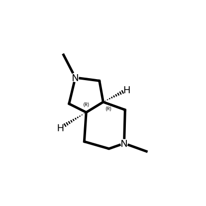 CN1CC[C@H]2CN(C)C[C@H]2C1